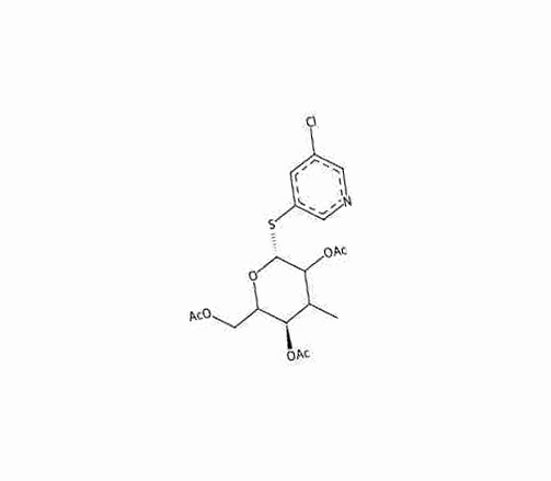 CC(=O)OCC1O[C@H](Sc2cncc(Cl)c2)C(OC(C)=O)C(C)[C@H]1OC(C)=O